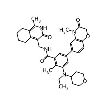 CCN(c1cc(-c2ccc3c(c2)N(C)C(=O)CO3)cc(C(=O)NCc2c3c(c(C)[nH]c2=O)CCCC3)c1C)C1CCOCC1